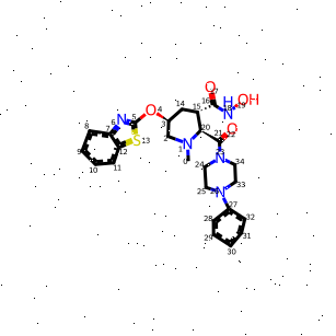 CN1C[C@@H](Oc2nc3ccccc3s2)C[C@H](C(=O)NO)[C@H]1C(=O)N1CCN(c2ccccc2)CC1